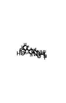 O=C(Nc1cn2cc(-c3cccc(F)c3CO)ccc2n1)C1CC1F